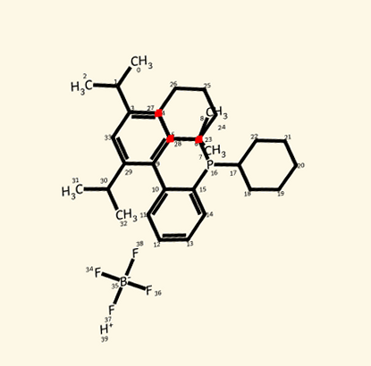 CC(C)c1cc(C(C)C)c(-c2ccccc2P(C2CCCCC2)C2CCCCC2)c(C(C)C)c1.F[B-](F)(F)F.[H+]